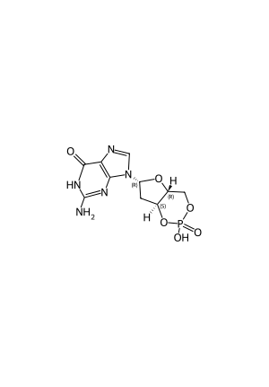 Nc1nc2c(ncn2[C@H]2C[C@@H]3OP(=O)(O)OC[C@H]3O2)c(=O)[nH]1